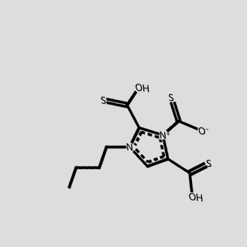 CCCCn1cc(C(O)=S)[n+](C([O-])=S)c1C(O)=S